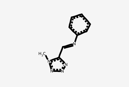 Cn1nnnc1C=Nc1ccccc1